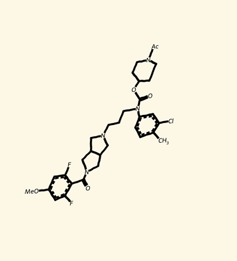 COc1cc(F)c(C(=O)N2CC3CN(CCCN(C(=O)OC4CCN(C(C)=O)CC4)c4ccc(C)c(Cl)c4)CC3C2)c(F)c1